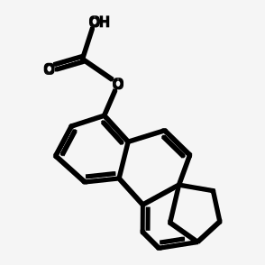 O=C(O)Oc1cccc2c1C=CC13CCC(=CC=C21)C3